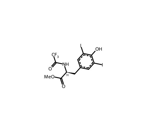 COC(=O)[C@H](Cc1cc(I)c(O)c(I)c1)NC(=O)C(F)(F)F